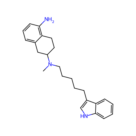 CN(CCCCCc1c[nH]c2ccccc12)C1CCc2c(N)cccc2C1